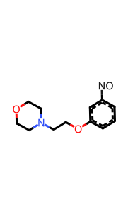 O=Nc1cccc(OCCN2CCOCC2)c1